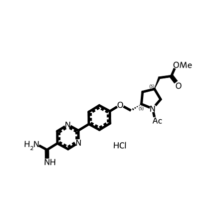 COC(=O)C[C@@H]1C[C@@H](COc2ccc(-c3ncc(C(=N)N)cn3)cc2)N(C(C)=O)C1.Cl